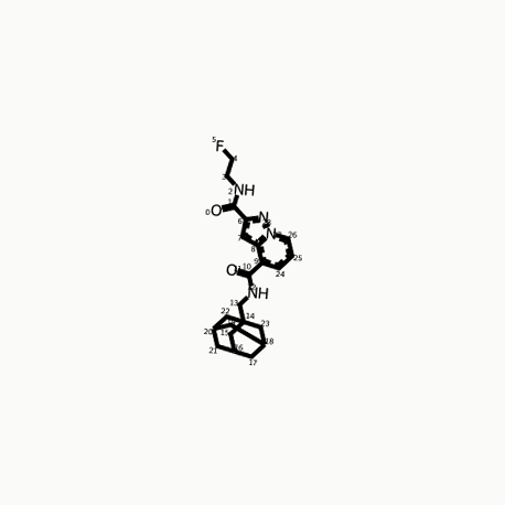 O=C(NCCF)c1cc2c(C(=O)NCC34CC5CC(CC(C5)C3)C4)cccn2n1